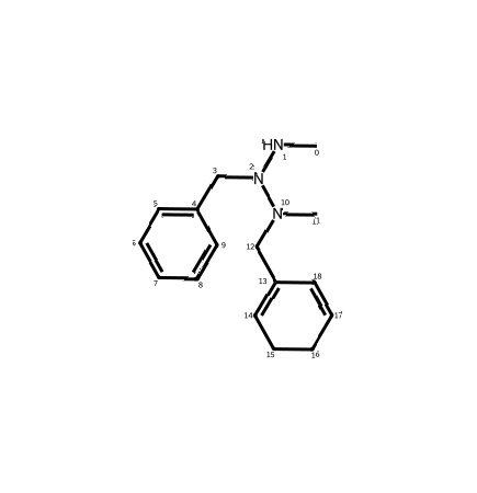 CNN(Cc1ccccc1)N(C)CC1=CCCC=C1